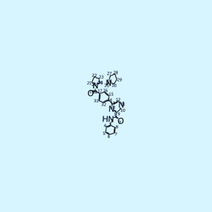 O=C(Nc1ccccc1)c1cncc(-c2ccc(C(=O)N3CCC[C@@H]3CN3CCCC3)cc2)n1